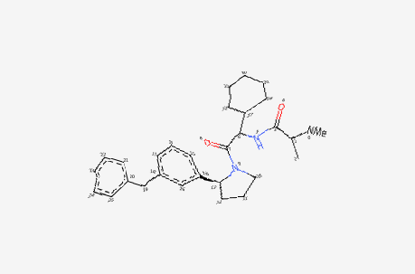 CNC(C)C(=O)NC(C(=O)N1CCC[C@H]1c1cccc(Cc2ccccc2)c1)C1CCCCC1